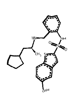 COc1ccc2sc(S(=O)(=O)Nc3ccccc3CN[C@@H](C)CC3CCCC3)cc2c1